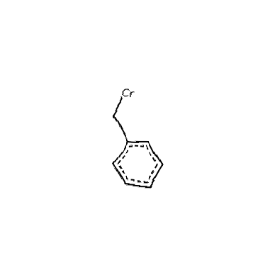 [Cr][CH2]c1ccccc1